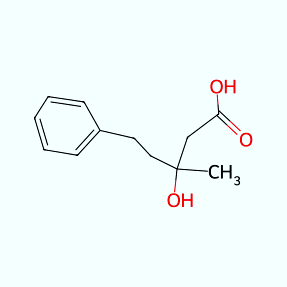 CC(O)(CCc1ccccc1)CC(=O)O